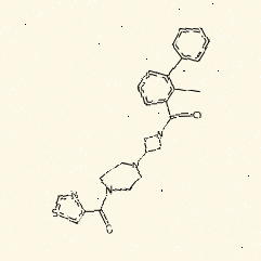 Cc1c(C(=O)N2CC(N3CCN(C(=O)c4cscn4)CC3)C2)cccc1-c1ccccc1